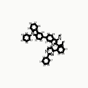 C=Nc1c(/C=C\C)n(-c2cnc(-c3ccccc3)nc2-c2ccccc2)c2cc(-c3ccc4c(c3)c3ccccc3n4-c3ccccc3)ccc12